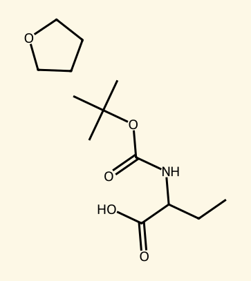 C1CCOC1.CCC(NC(=O)OC(C)(C)C)C(=O)O